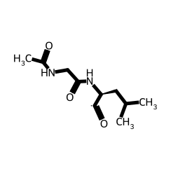 CC(=O)NCC(=O)N[C@H]([C]=O)CC(C)C